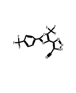 N#Cc1[nH]nnc1-c1nc(-c2ccc(C(F)(F)F)cc2)oc1C(F)(F)F